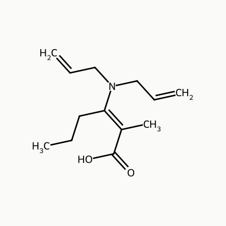 C=CCN(CC=C)C(CCC)=C(C)C(=O)O